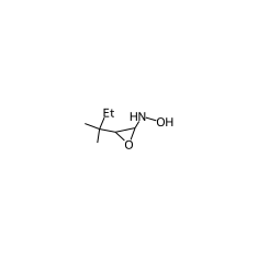 CCC(C)(C)C1OC1NO